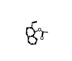 C=Cc1ccc2ccccc2c1OC(C)=O